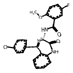 COc1ccc(F)cc1C(=O)N[C@H]1N=C(c2ccc(Cl)cc2)c2ccccc2NC1=O